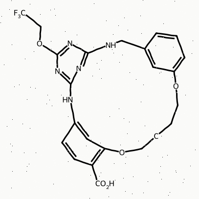 O=C(O)c1ccc2cc1OCCCCOc1cccc(c1)CNc1nc(nc(OCC(F)(F)F)n1)N2